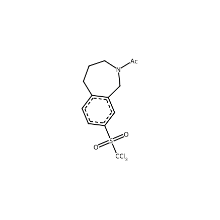 CC(=O)N1CCCc2ccc(S(=O)(=O)C(Cl)(Cl)Cl)cc2C1